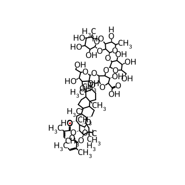 C/C=C(/C)C(=O)O[C@H]1[C@H](OC(=O)/C(C)=C\C)[C@@]23C(CC1(C)C)[C@]1(CCC4[C@@]5(C)CC[C@H](O[C@@H]6OC(C(=O)O)[C@@H](O)C(O[C@@H]7OC(CO)[C@H](O)C(O)C7O[C@@H]7OC(C)[C@H](O)C(O)C7O[C@@H]7OC(C)[C@H](O)C(O)C7O)C6O[C@@H]6OC(CO)[C@H](O)C(O)C6O)C(C)(C)C5CC[C@@]4(C)[C@]1(C)C[C@H]2O)O[C@@H]3O